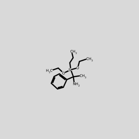 CCC[Si](OCC)(OCC)C(C)(N)c1ccccc1